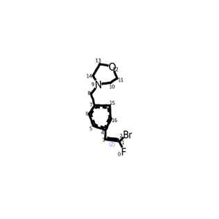 F/C(Br)=C/c1ccc(CN2CCOCC2)cc1